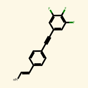 CCCC=Cc1ccc(C#Cc2cc(F)c(F)c(F)c2)cc1